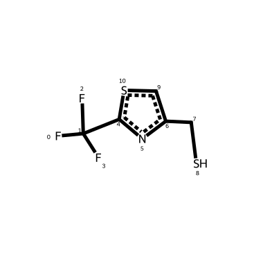 FC(F)(F)c1nc(CS)cs1